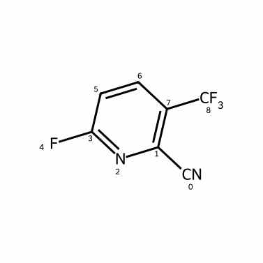 N#Cc1nc(F)ccc1C(F)(F)F